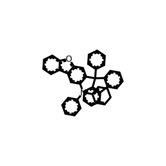 C1=CC(N(c2ccccc2)c2cc3c(cc2C2(c4ccccc4)c4ccccc4-c4ccccc42)oc2ccccc23)=CCC1